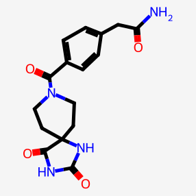 NC(=O)Cc1ccc(C(=O)N2CCC3(CC2)NC(=O)NC3=O)cc1